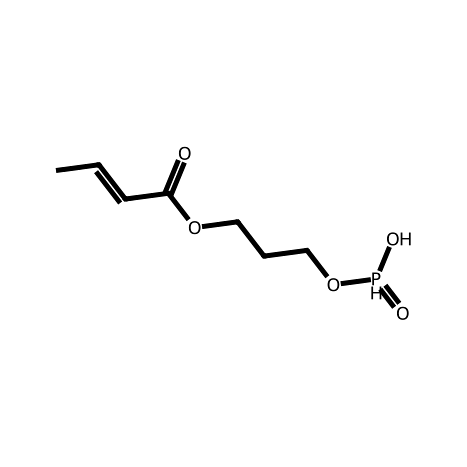 CC=CC(=O)OCCCO[PH](=O)O